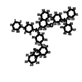 c1ccc(-c2ccc(N(c3ccc(-c4cccc5c4sc4ccccc45)cc3)c3cc4c5c(cccc5c3)-c3ccc(N(c5ccccc5)c5ccccc5)cc3O4)cc2)cc1